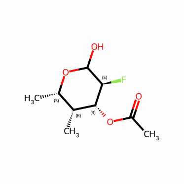 CC(=O)O[C@@H]1[C@H](C)[C@H](C)OC(O)[C@H]1F